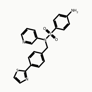 Nc1ccc(S(=O)(=O)N(Cc2ccc(-c3nccs3)cc2)c2cccnc2)cc1